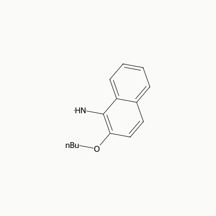 CCCCOc1ccc2ccccc2c1[NH]